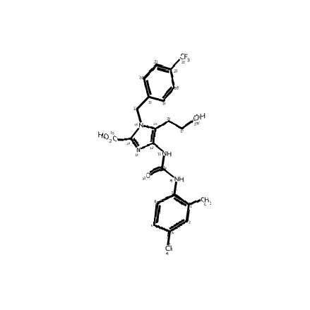 Cc1cc(Cl)ccc1NC(=O)Nc1nc(C(=O)O)n(Cc2ccc(C(F)(F)F)cc2)c1CCO